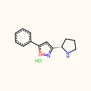 Cl.c1ccc(-c2cc([C@@H]3CCCN3)no2)cc1